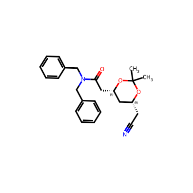 CC1(C)O[C@H](CC#N)C[C@H](CC(=O)N(Cc2ccccc2)Cc2ccccc2)O1